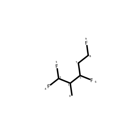 CC(C(F)F)C(F)CCF